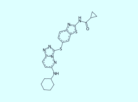 O=C(Nc1nc2ccc(Sc3nnc4ccc(NC5CCCCC5)nn34)cc2s1)C1CC1